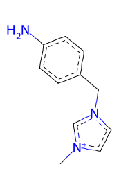 C[n+]1ccn(Cc2ccc(N)cc2)c1